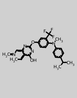 C=N/C=c1/nc(Oc2ccc(N(C)c3ccc(C(C)C)cc3)c(C(F)(F)F)c2)nc(O)/c1=C/C